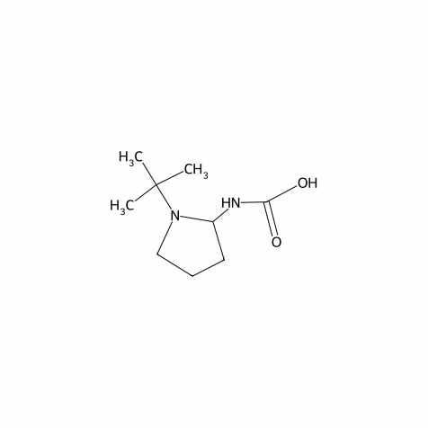 CC(C)(C)N1CCCC1NC(=O)O